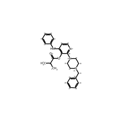 CC(C)C(=O)Oc1c(Nc2ccccc2)ccnc1N1CCN(Cc2ccccc2)CC1